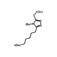 CCCCCCCCCCCCCCCc1nnc(SCCCCCCCC)n1C(C)CC